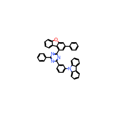 c1ccc(-c2cc(-c3nc(-c4ccccc4)nc(-c4cccc(-n5c6ccccc6c6ccccc65)c4)n3)c3c(c2)oc2ccccc23)cc1